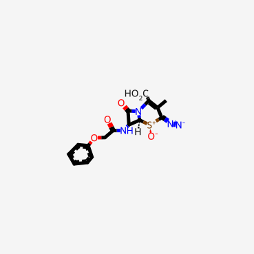 CC1=C(C(=O)O)N2C(=O)C(NC(=O)COc3ccccc3)[C@@H]2[S@@+]([O-])C1=[N+]=[N-]